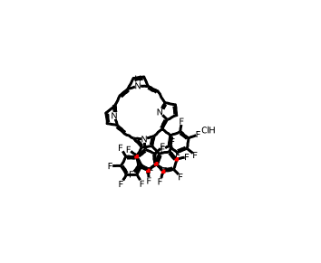 Cl.Fc1c(F)c(F)c(-c2c(-c3c(F)c(F)c(F)c(F)c3F)c3c(-c4c(F)c(F)c(F)c(F)c4F)c4nc(cc5ccc(cc6nc(cc2n3-c2c(F)c(F)c(F)c(F)c2F)C=C6)[nH]5)C=C4)c(F)c1F